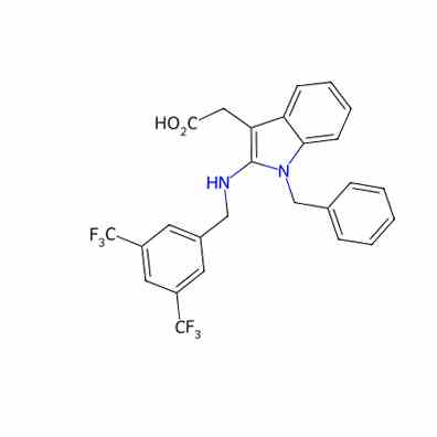 O=C(O)Cc1c(NCc2cc(C(F)(F)F)cc(C(F)(F)F)c2)n(Cc2ccccc2)c2ccccc12